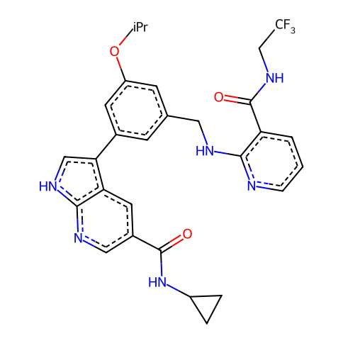 CC(C)Oc1cc(CNc2ncccc2C(=O)NCC(F)(F)F)cc(-c2c[nH]c3ncc(C(=O)NC4CC4)cc23)c1